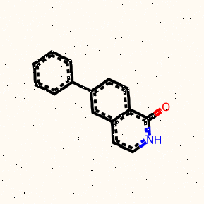 O=c1[nH]ccc2cc(-c3ccccc3)ccc12